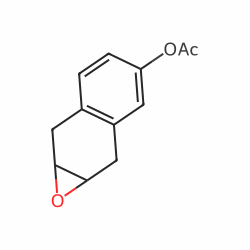 CC(=O)Oc1ccc2c(c1)CC1OC1C2